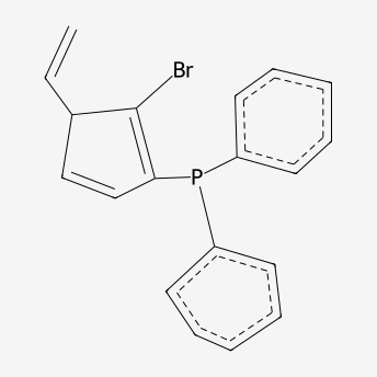 C=CC1C=CC(P(c2ccccc2)c2ccccc2)=C1Br